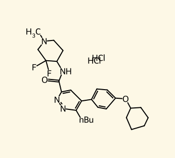 CCCCc1nnc(C(=O)NC2CCN(C)CC2(F)F)cc1-c1ccc(OC2CCCCC2)cc1.Cl.Cl